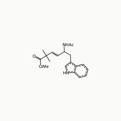 COC(=O)C(C)(C)/C=C/C(Cc1c[nH]c2ccccc12)NC(C)=O